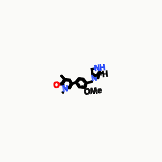 COc1cc(-c2cc(C)c(=O)n(C)c2)ccc1CN1C[C@@H]2CC1CN2